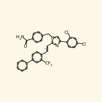 NC(=O)c1ccc(Cn2cc(-c3ccc(Cl)cc3Cl)nc2/C=C/c2ccc(-c3ccccc3)cc2C(F)(F)F)cc1